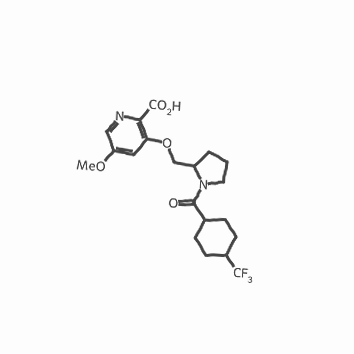 COc1cnc(C(=O)O)c(OCC2CCCN2C(=O)C2CCC(C(F)(F)F)CC2)c1